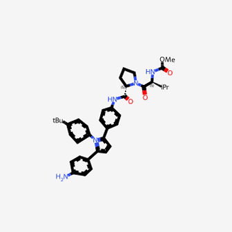 COC(=O)N[C@H](C(=O)N1CCC[C@H]1C(=O)Nc1ccc(-c2ccc(-c3ccc(N)cc3)n2-c2ccc(C(C)(C)C)cc2)cc1)C(C)C